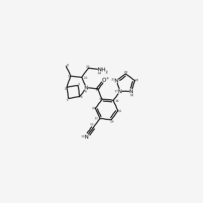 CC1C2CC(C2)N(C(=O)c2cc(C#N)ccc2-n2nccn2)C1CN